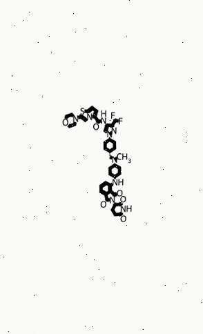 CN(C[C@H]1CC[C@H](n2cc(NC(=O)c3ccc4sc(N5CCOCC5)cn34)c(C(F)F)n2)CC1)[C@H]1CC[C@H](Nc2cccc3c2C(=O)N(C2CCC(=O)NC2=O)C3=O)CC1